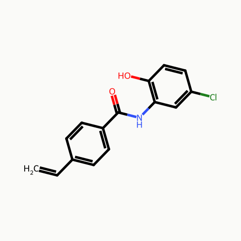 C=Cc1ccc(C(=O)Nc2cc(Cl)ccc2O)cc1